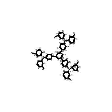 Cc1cccc(N(c2ccc(-c3cc(-c4ccc(N(c5cccc(C)c5)c5cccc(C)c5)cc4)cc(-c4ccc(N(c5cccc(C)c5)c5cccc(C)c5)cc4)c3)cc2)c2cccc(C)c2)c1